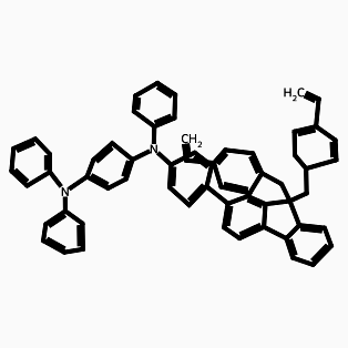 C=CC1=CCC(CC2(Cc3ccc(C=C)cc3)c3ccccc3-c3ccc(-c4ccc(N(c5ccccc5)c5ccc(N(c6ccccc6)c6ccccc6)cc5)cc4)cc32)C=C1